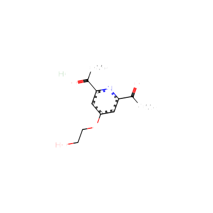 COC(=O)c1cc(OCCO)cc(C(=O)OC)n1.Cl